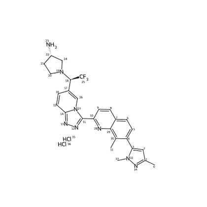 Cc1cc(-c2ccc3ccc(-c4nnc5ccc([C@@H](N6CC[C@H](N)C6)C(F)(F)F)cn45)nc3c2C)n(C)n1.Cl.Cl